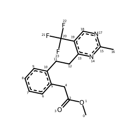 COC(=O)Cc1ccccc1CCc1nc(C)ncc1C(F)(F)F